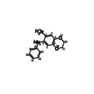 Nc1cc2c(cc1Nc1c[c]ccc1)OCCO2